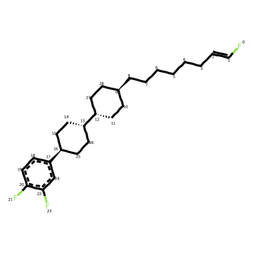 F/C=C/CCCCCC[C@H]1CC[C@H]([C@H]2CC[C@H](c3ccc(F)c(F)c3)CC2)CC1